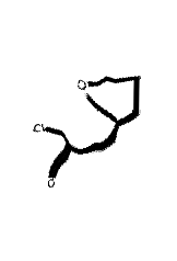 O=C(Cl)CC1CCCO1